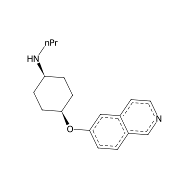 CCCN[C@H]1CC[C@@H](Oc2ccc3cnccc3c2)CC1